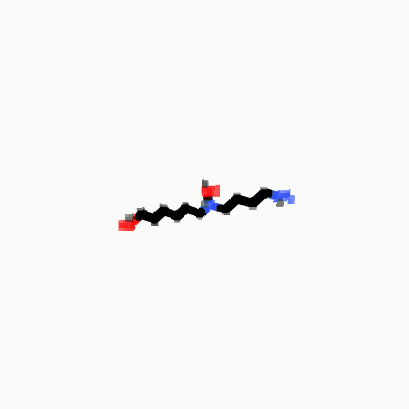 NCCCCN(O)CCCCCCO